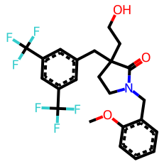 COc1ccccc1CN1CCC(CCO)(Cc2cc(C(F)(F)F)cc(C(F)(F)F)c2)C1=O